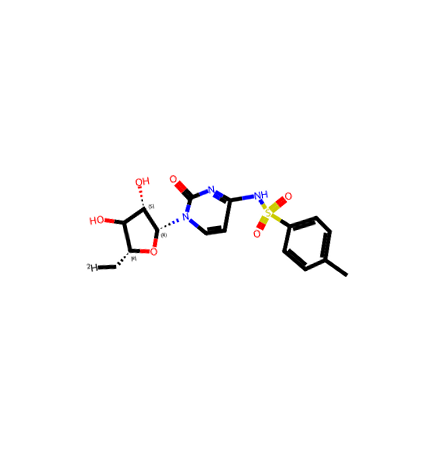 [2H]C[C@H]1O[C@@H](n2ccc(NS(=O)(=O)c3ccc(C)cc3)nc2=O)[C@@H](O)C1O